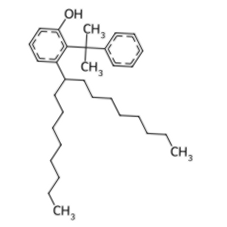 CCCCCCCCC(CCCCCCCC)c1cccc(O)c1C(C)(C)c1ccccc1